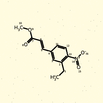 CCc1cc(/C=C/C(=O)OC)ccc1[N+](=O)[O-]